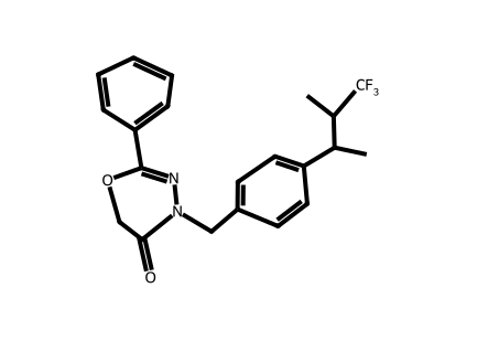 CC(c1ccc(CN2N=C(c3ccccc3)OCC2=O)cc1)C(C)C(F)(F)F